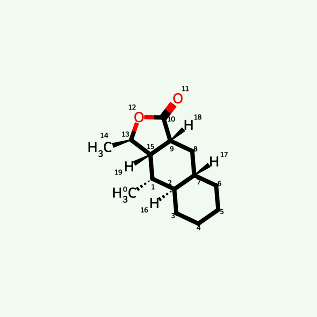 C[C@H]1[C@@H]2CCCC[C@H]2C[C@H]2C(=O)O[C@H](C)[C@@H]12